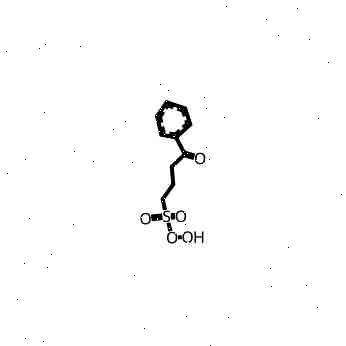 O=C(CCCS(=O)(=O)OO)c1ccccc1